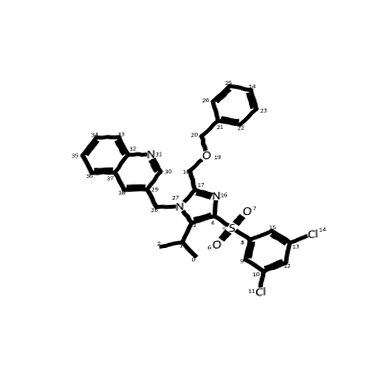 CC(C)c1c(S(=O)(=O)c2cc(Cl)cc(Cl)c2)nc(COCc2ccccc2)n1Cc1cnc2ccccc2c1